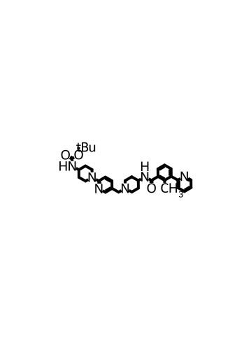 Cc1c(C(=O)NC2CCN(Cc3ccc(N4CCC(NC(=O)OC(C)(C)C)CC4)nc3)CC2)cccc1-c1ccccn1